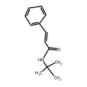 CC(C)(C)NC(=O)/C=C/c1ccccc1